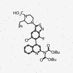 CC(C)COC(=O)N(C(=O)OCC(C)C)c1cc(-c2c(Cl)cc3c(N4CCN(C(=O)O)C(CC(C)C)C4)snc3c2F)c2ccccc2n1